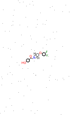 O=C(CN1C[C@H]2CC(Oc3ccc(F)c(F)c3)C[C@H]2C1)c1ccc(O)cc1